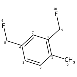 Cc1ccc(CF)cc1CF